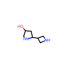 OC1CNC(C2CNC2)C1